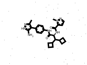 Cc1n[nH]c(N)c1-c1ccc(NC(=O)[C@@H](NC(=O)c2ccnn2C)C(C2CCC2)C2CCC2)cc1